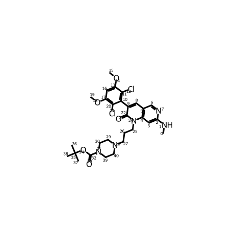 CNc1cc2c(cn1)cc(-c1c(Cl)c(OC)cc(OC)c1Cl)c(=O)n2CCCN1CCN(C(=O)OC(C)(C)C)CC1